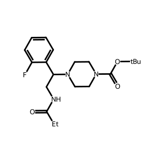 CCC(=O)NCC(c1ccccc1F)N1CCN(C(=O)OC(C)(C)C)CC1